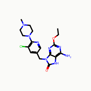 CCOc1nc(N)c2[nH]c(=O)n(Cc3cnc(N4CCN(C)CC4)c(Cl)c3)c2n1